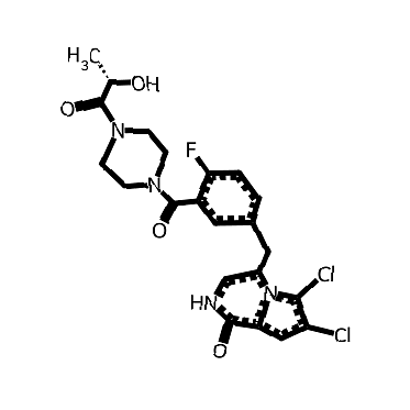 C[C@H](O)C(=O)N1CCN(C(=O)c2cc(Cc3c[nH]c(=O)c4cc(Cl)c(Cl)n34)ccc2F)CC1